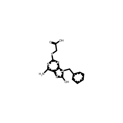 Nc1nc(SCC(=O)O)nc2c1nc(O)n2Cc1ccccc1